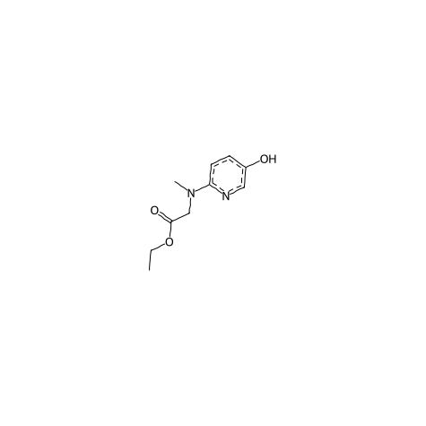 CCOC(=O)CN(C)c1ccc(O)cn1